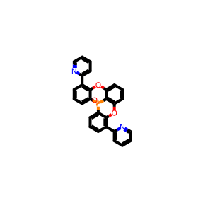 O=P12c3cccc(-c4ccccn4)c3Oc3cccc(c31)Oc1c(-c3ccccn3)cccc12